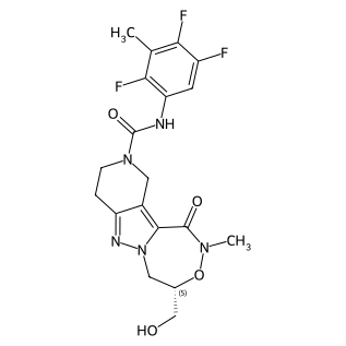 Cc1c(F)c(F)cc(NC(=O)N2CCc3nn4c(c3C2)C(=O)N(C)O[C@H](CO)C4)c1F